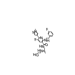 C[C@H](CNC(=O)c1cc(F)c(-c2cnn(C)c2)nc1NCCc1cccc(F)c1)NCCO